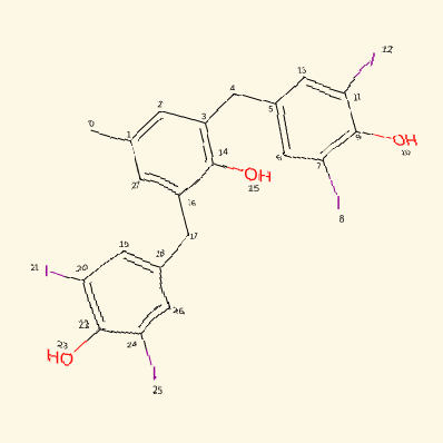 Cc1cc(Cc2cc(I)c(O)c(I)c2)c(O)c(Cc2cc(I)c(O)c(I)c2)c1